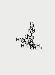 C[C@@H]1CN(c2ccc(-c3cnc(N4CCOCC4)nc3)c(F)c2NC(=O)C2=CNCC=C2C(F)(F)F)C[C@H](C)N1C